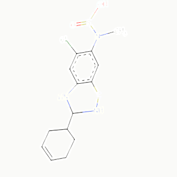 CN(c1cc2c(cc1Cl)NC(C1CC=CCC1)NS2)S(=O)O